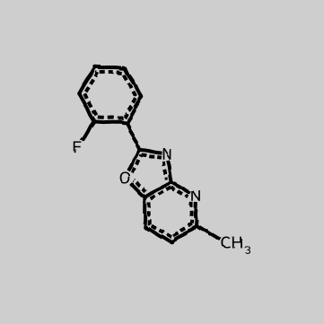 Cc1ccc2oc(-c3ccccc3F)nc2n1